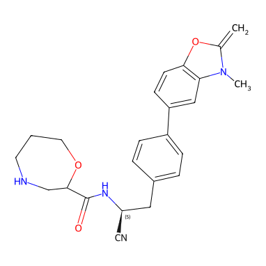 C=C1Oc2ccc(-c3ccc(C[C@@H](C#N)NC(=O)C4CNCCCO4)cc3)cc2N1C